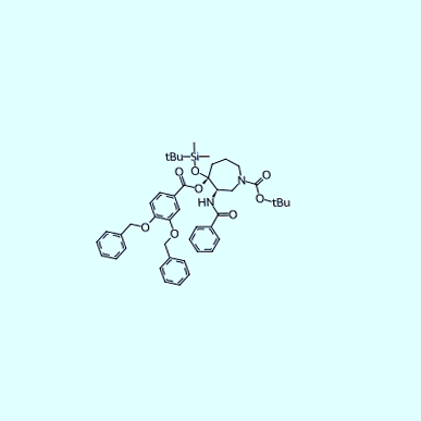 CC(C)(C)OC(=O)N1CCC[C@@](OC(=O)c2ccc(OCc3ccccc3)c(OCc3ccccc3)c2)(O[Si](C)(C)C(C)(C)C)[C@H](NC(=O)c2ccccc2)C1